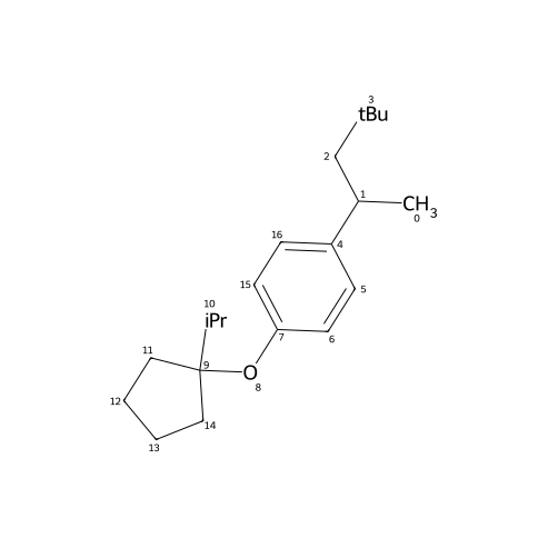 CC(CC(C)(C)C)c1ccc(OC2(C(C)C)CCCC2)cc1